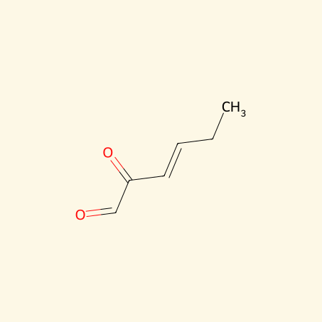 CCC=CC(=O)C=O